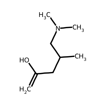 C=C(O)CC(C)CN(C)C